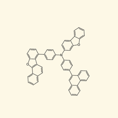 c1ccc2c(c1)cc(-c1ccc(N(c3ccc(-c4cccc5oc6c7ccccc7ccc6c45)cc3)c3ccc4c(c3)oc3ccccc34)cc1)c1ccccc12